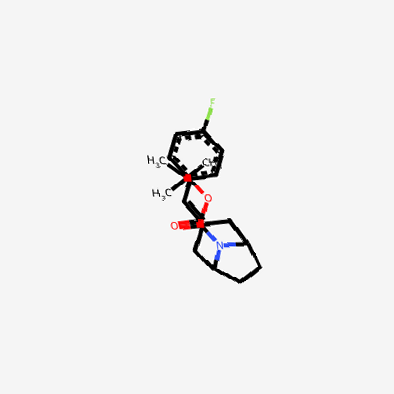 CC(C)(C)OC(=O)N1C2CCC1CC(=Cc1ccc(F)cc1)C2